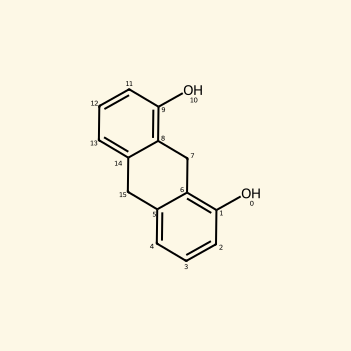 Oc1cccc2c1Cc1c(O)cccc1C2